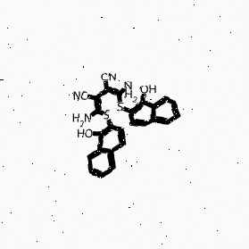 N#CC(=C(N)Sc1ccc2ccccc2c1O)C(C#N)=C(N)Sc1ccc2ccccc2c1O